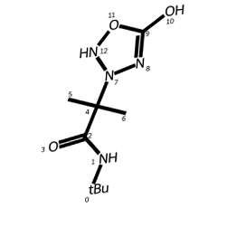 CC(C)(C)NC(=O)C(C)(C)N1N=C(O)ON1